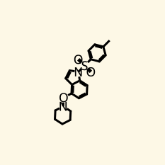 Cc1ccc(S(=O)(=O)n2ccc3c(ON4CCCCC4)cccc32)cc1